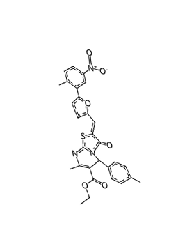 CCOC(=O)C1=C(C)N=c2s/c(=C\c3ccc(-c4cc([N+](=O)[O-])ccc4C)o3)c(=O)n2C1c1ccc(C)cc1